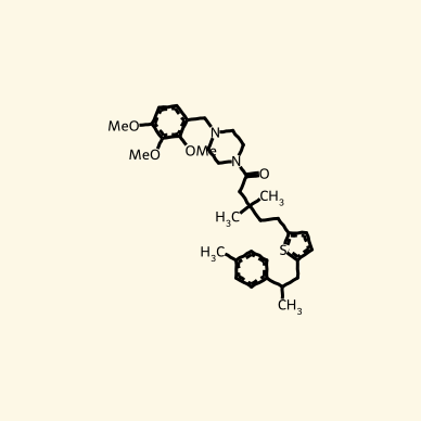 COc1ccc(CN2CCN(C(=O)CC(C)(C)CCc3ccc(CC(C)c4ccc(C)cc4)s3)CC2)c(OC)c1OC